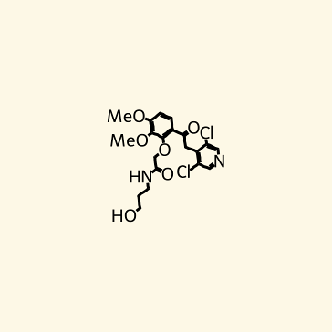 COc1ccc(C(=O)Cc2c(Cl)cncc2Cl)c(OCC(=O)NCCCO)c1OC